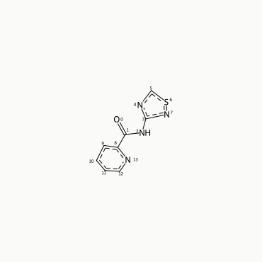 O=C(Nc1ncsn1)c1ccccn1